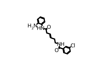 Nc1ccccc1NC(=O)CC=CCCNC(=O)c1cccc(Cl)c1